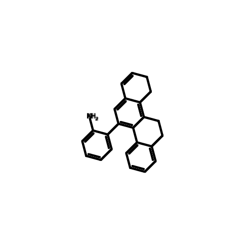 Nc1ccccc1-c1cc2c(c3c1-c1ccccc1CC3)CCC=C2